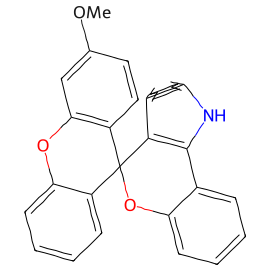 COc1ccc2c(c1)Oc1ccccc1C21Oc2ccccc2-c2[nH]c3ccccc3c21